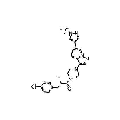 Cn1cc(-c2ccc3c(N4CCN(C(=O)C(F)Cc5ccc(Cl)cc5)CC4)cnn3c2)cn1